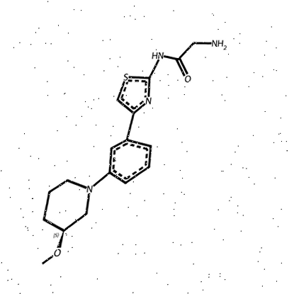 CO[C@H]1CCCN(c2cccc(-c3csc(NC(=O)CN)n3)c2)C1